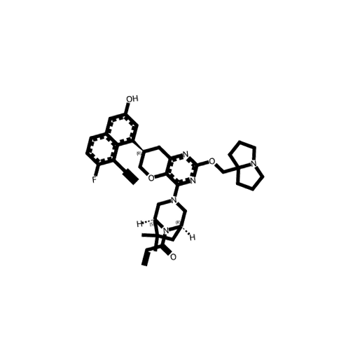 C#Cc1c(F)ccc2cc(O)cc([C@@H]3COc4c(nc(OCC56CCCN5CCC6)nc4N4C[C@H]5CC(C)(C)[C@@H](C4)N5C(=O)C=C)C3)c12